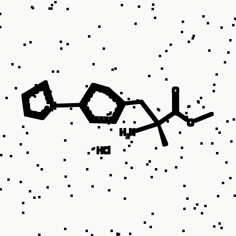 COC(=O)[C@](C)(N)Cc1ccc(-n2cccc2)cc1.Cl